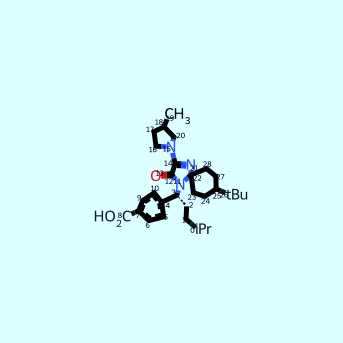 CC(C)CC[C@H](c1ccc(C(=O)O)cc1)N1C(=O)C(N2CCC(C)C2)=NC12CCC(C(C)(C)C)CC2